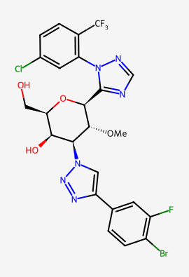 CO[C@@H]1[C@@H](n2cc(-c3ccc(Br)c(F)c3)nn2)[C@@H](O)[C@@H](CO)O[C@H]1c1ncnn1-c1cc(Cl)ccc1C(F)(F)F